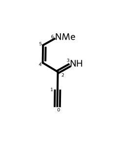 C#CC(=N)/C=C\NC